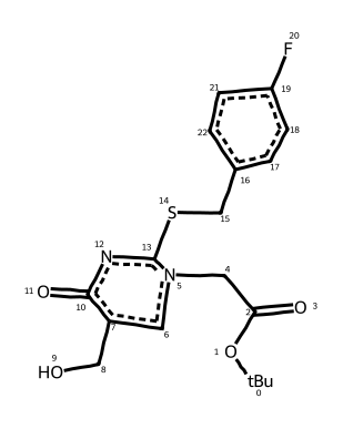 CC(C)(C)OC(=O)Cn1cc(CO)c(=O)nc1SCc1ccc(F)cc1